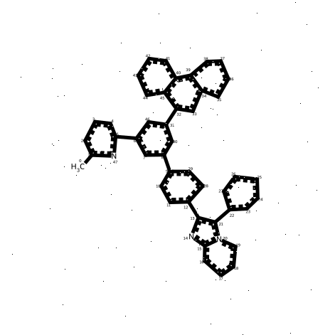 Cc1cccc(-c2cc(-c3ccc(-c4nc5ccccn5c4-c4ccccc4)cc3)cc(-c3cc4ccccc4c4ccccc34)c2)n1